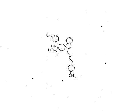 Cc1ccc(CCOCC2=Cc3ccccc3C23CCC(Nc2cccc(Cl)c2)(C(=O)O)CC3)cc1